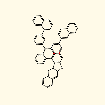 C1=c2ccccc2=CC2c3c(cccc3-c3ccccc3N(c3cccc(-c4ccc5ccccc5c4)c3)c3cccc(-c4cccc5ccccc45)c3)OC12